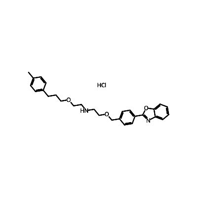 Cc1ccc(CCCOCCNCCOCc2ccc(-c3nc4ccccc4o3)cc2)cc1.Cl